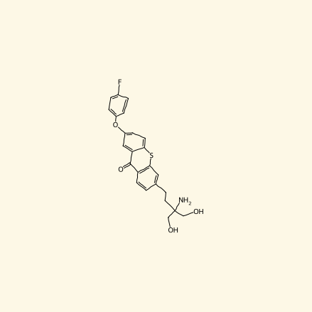 NC(CO)(CO)CCc1ccc2c(=O)c3cc(Oc4ccc(F)cc4)ccc3sc2c1